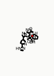 CC(=O)c1c([C@@H]2C[C@H]3CC[C@@H](C2)N3C(=O)C(C)(CO)CO)nc2c(-c3ccc(-c4ncc[nH]4)nc3)cnn2c1N